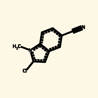 Cn1c(Cl)cc2cc(C#N)ccc21